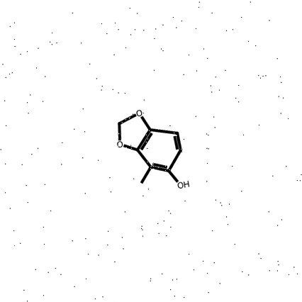 Cc1c(O)ccc2c1OCO2